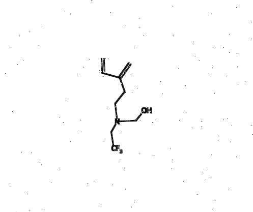 C=CC(=C)CCN(CO)CC(F)(F)F